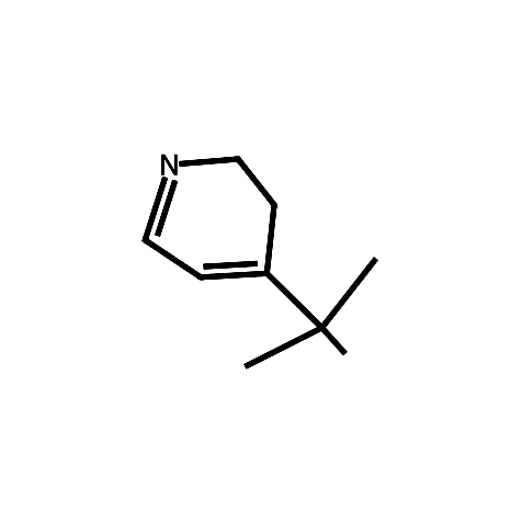 CC(C)(C)C1=CC=NCC1